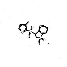 Cc1ccoc1S(=O)(=O)C1CS(=O)(=O)c2ccccc21